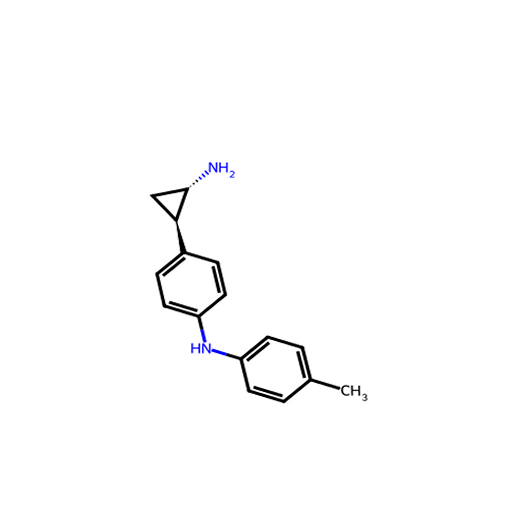 Cc1ccc(Nc2ccc([C@H]3C[C@@H]3N)cc2)cc1